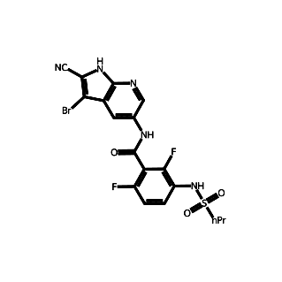 CCCS(=O)(=O)Nc1ccc(F)c(C(=O)Nc2cnc3[nH]c(C#N)c(Br)c3c2)c1F